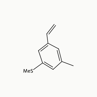 C=Cc1cc(C)cc(SC)c1